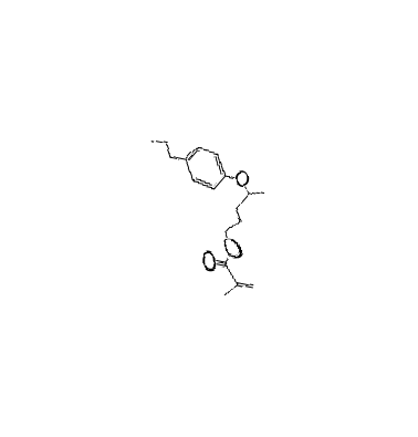 C=C(C)C(=O)OCCCC(C)Oc1ccc(CCC)cc1